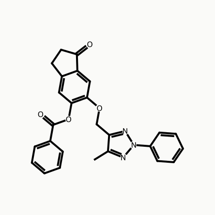 Cc1nn(-c2ccccc2)nc1COc1cc2c(cc1OC(=O)c1ccccc1)CCC2=O